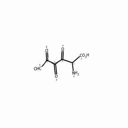 NC(C(=O)O)C(=O)C(=O)C(=O)C=O